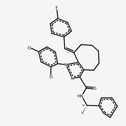 C[C@H](NC(=O)c1nn(-c2ccc(Cl)cc2Cl)c2c1CCCCC/C2=C\c1ccc(F)cc1)c1ccccc1